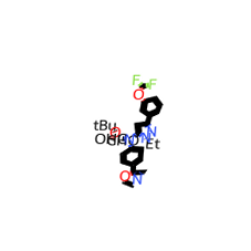 CC(C)(C)OC=O.CCn1nc(-c2cccc(OC(F)F)c2)cc1N(C=O)c1ccc(C23CN2CCO3)cc1